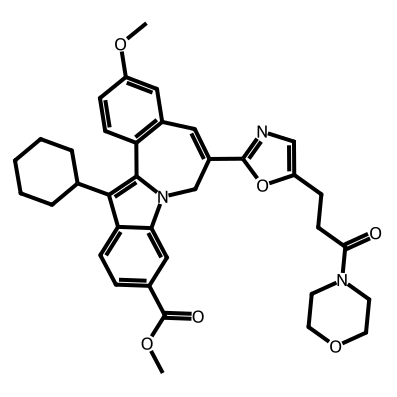 COC(=O)c1ccc2c(C3CCCCC3)c3n(c2c1)CC(c1ncc(CCC(=O)N2CCOCC2)o1)=Cc1cc(OC)ccc1-3